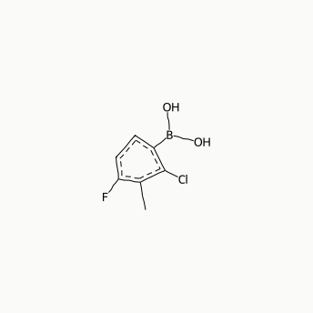 Cc1c(F)ccc(B(O)O)c1Cl